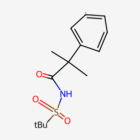 CC(C)(C(=O)NS(=O)(=O)C(C)(C)C)c1c[c]ccc1